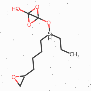 CCC[SiH](CCCCC1CO1)OC12OC1(O)O2